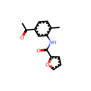 CC(=O)c1ccc(C)c(NC(=O)c2ccco2)c1